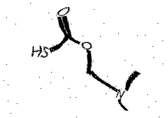 CN(C)COC(=O)S